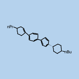 CCCC[C@H]1CC[C@H](c2ccc(-c3ccc(C4=CCC(CCC)CC4)cc3)cc2)CC1